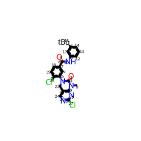 CN1C(=O)N(c2cc(C(=O)Nc3cccc(C(C)(C)C)c3)ccc2Cl)Cc2cnc(Cl)nc21